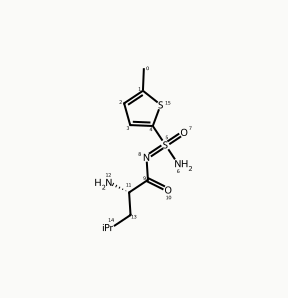 Cc1ccc(S(N)(=O)=NC(=O)[C@@H](N)CC(C)C)s1